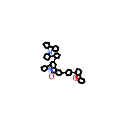 O=c1c2ccc(-c3ccc(-c4cccc5c4oc4ccccc45)cc3)cc2c2cc(-c3ccccc3-c3ccccc3-n3c4ccccc4c4ccccc43)cc3c4ccccc4n1c23